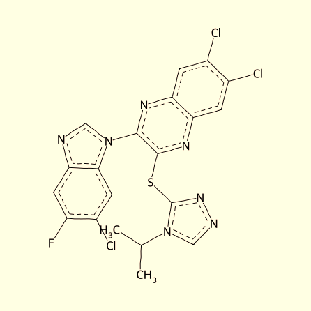 CC(C)n1cnnc1Sc1nc2cc(Cl)c(Cl)cc2nc1-n1cnc2cc(F)c(Cl)cc21